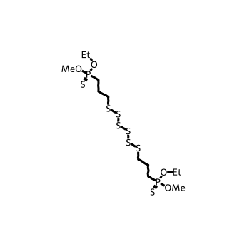 CCOP(=S)(CCCSSSSSSCCCP(=S)(OC)OCC)OC